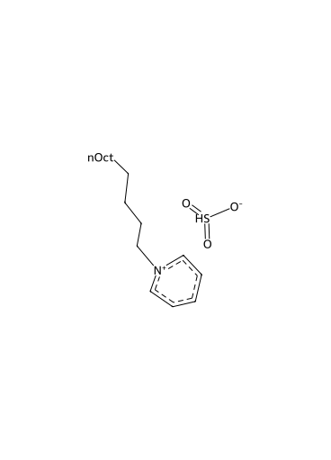 CCCCCCCCCCCC[n+]1ccccc1.O=[SH](=O)[O-]